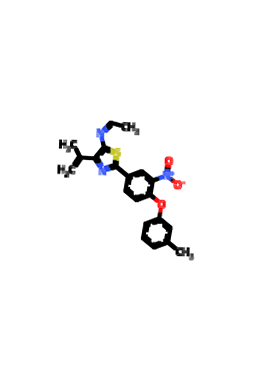 C=C(C)c1nc(-c2ccc(Oc3cccc(C)c3)c([N+](=O)[O-])c2)sc1/N=C\C